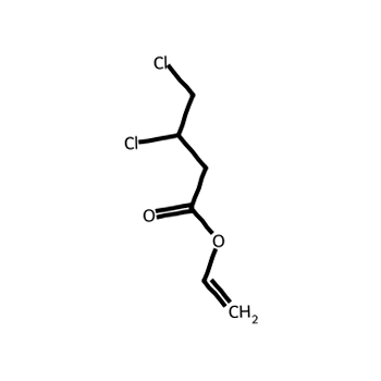 C=COC(=O)CC(Cl)CCl